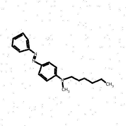 CCCCCCN(C)c1ccc(N=Nc2ccccc2)cc1